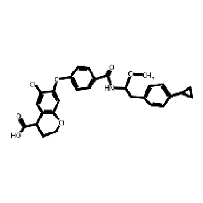 COC(Cc1ccc(C2CC2)cc1)NC(=O)c1ccc(Oc2cc3c(cc2Cl)C(C(=O)O)CCO3)cc1